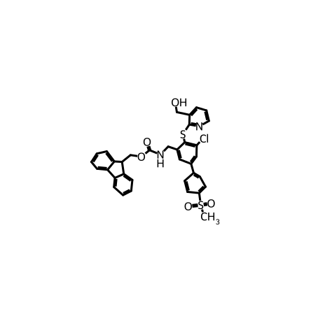 CS(=O)(=O)c1ccc(-c2cc(Cl)c(Sc3ncccc3CO)c(CNC(=O)OCC3c4ccccc4-c4ccccc43)c2)cc1